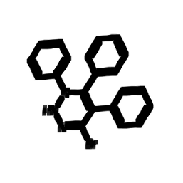 BrC1=NNN(c2ccccc2)C(c2ccccc2)=C1c1ccccc1